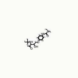 CC(=O)C(NC(C)(C)C)C(O)COc1ccc(NC(=O)N(C)C)cc1